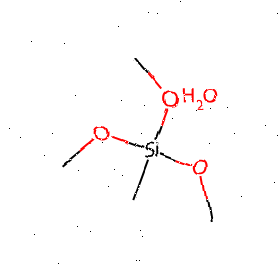 CO[Si](C)(OC)OC.O